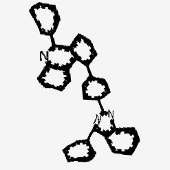 c1ccc(-c2nc(-c3ccc(-c4cccc5c(-c6ccccc6)nc6ccccc6c45)cc3)nc3ccccc23)cc1